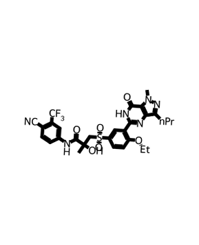 CCCc1nn(C)c2c(=O)[nH]c(-c3cc(S(=O)(=O)CC(C)(O)C(=O)Nc4ccc(C#N)c(C(F)(F)F)c4)ccc3OCC)nc12